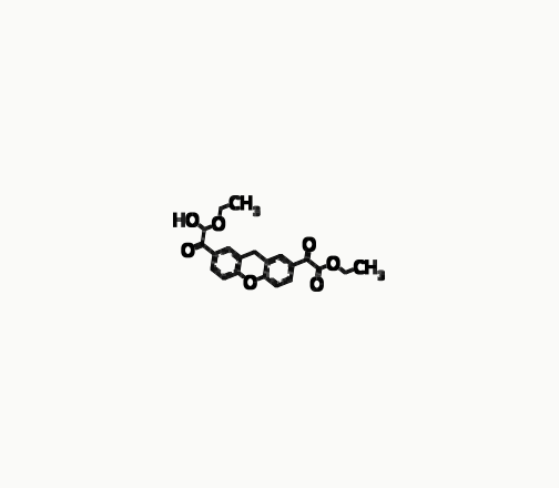 CCOC(=O)C(=O)c1ccc2c(c1)Cc1cc(C(=O)C(O)OCC)ccc1O2